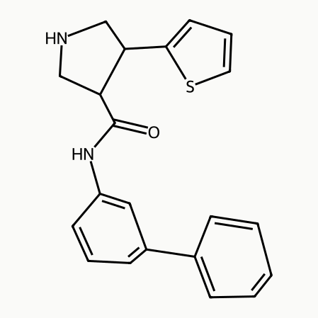 O=C(Nc1cccc(-c2ccccc2)c1)C1CNCC1c1cccs1